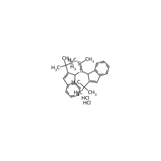 C[Si](C)=[Ti]([CH]1C(C(C)(C)C)=Cc2ccccc21)[CH]1C(C(C)(C)C)=Cc2ccccc21.Cl.Cl